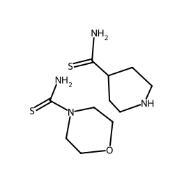 NC(=S)C1CCNCC1.NC(=S)N1CCOCC1